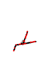 CCCCCCCC/C=C\CCCCCCCC(=O)OC(COCCCCCCCCCCCCCCCC)COC(=O)CCCCCCCCCCCCCCC